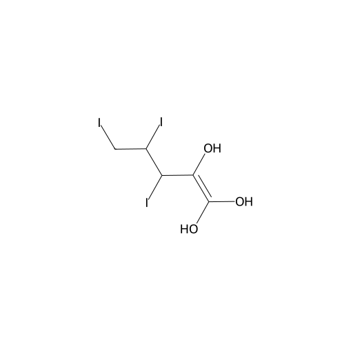 OC(O)=C(O)C(I)C(I)CI